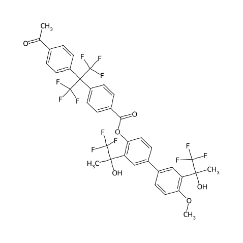 COc1ccc(-c2ccc(OC(=O)c3ccc(C(c4ccc(C(C)=O)cc4)(C(F)(F)F)C(F)(F)F)cc3)c(C(C)(O)C(F)(F)F)c2)cc1C(C)(O)C(F)(F)F